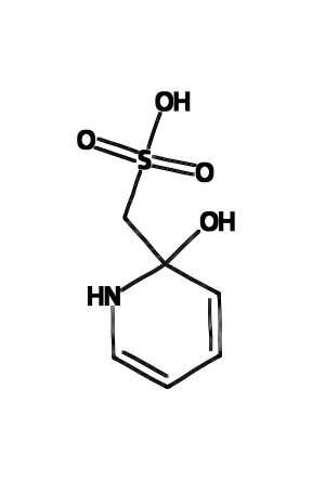 O=S(=O)(O)CC1(O)C=CC=CN1